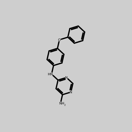 Nc1cc(Nc2ccc(Oc3ccccc3)cc2)ncn1